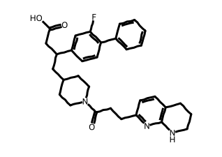 O=C(O)CC(CC1CCN(C(=O)CCc2ccc3c(n2)NCCC3)CC1)c1ccc(-c2ccccc2)c(F)c1